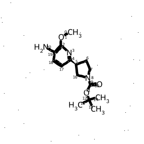 COc1nc([C@H]2CCN(C(=O)OC(C)(C)C)C2)ccc1N